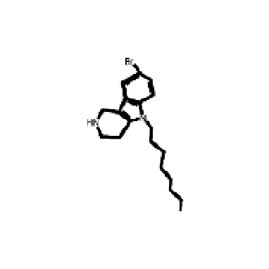 CCCCCCCCn1c2c(c3cc(Br)ccc31)CNCC2